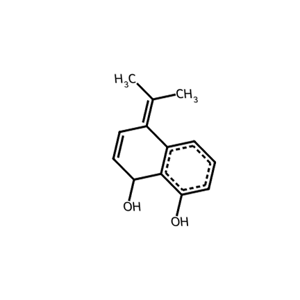 CC(C)=C1C=CC(O)c2c(O)cccc21